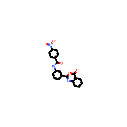 O=C(Nc1cccc(-c2nc3ccccc3c(=O)o2)c1)c1ccc([N+](=O)[O-])cc1